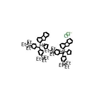 CC[Si](CC)(CC)c1ccc([C](c2ccc([Si](CC)(CC)CC)cc2)=[Hf]([C]2=CC=CC2)[c]2cccc3c2Cc2ccccc2-3)cc1.CC[Si](CC)(CC)c1ccc([C](c2ccc([Si](CC)(CC)CC)cc2)=[Hf]([C]2=CC=CC2)[c]2cccc3c2Cc2ccccc2-3)cc1.[Cl-].[Cl-]